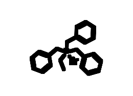 CCP(Br)(Cc1ccccc1)(Cc1ccccc1)Cc1ccccc1